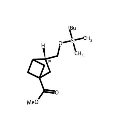 COC(=O)C12CC(C1)[C@H](CO[Si](C)(C)C(C)(C)C)C2